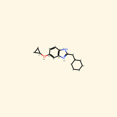 c1cc2[nH]c(CC3CCCCC3)nc2cc1OC1CC1